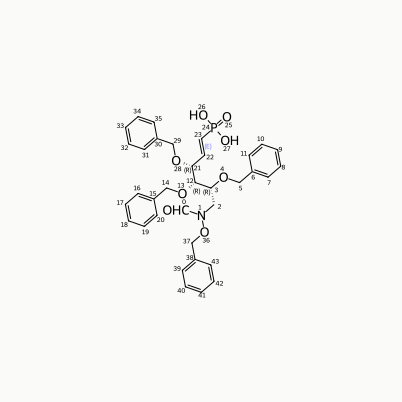 O=CN(C[C@@H](OCc1ccccc1)[C@H](OCc1ccccc1)[C@@H](/C=C/P(=O)(O)O)OCc1ccccc1)OCc1ccccc1